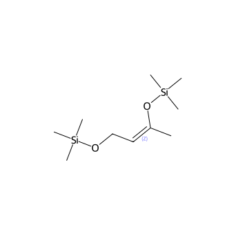 C/C(=C/CO[Si](C)(C)C)O[Si](C)(C)C